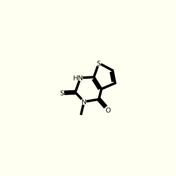 Cn1c(=S)[nH]c2sccc2c1=O